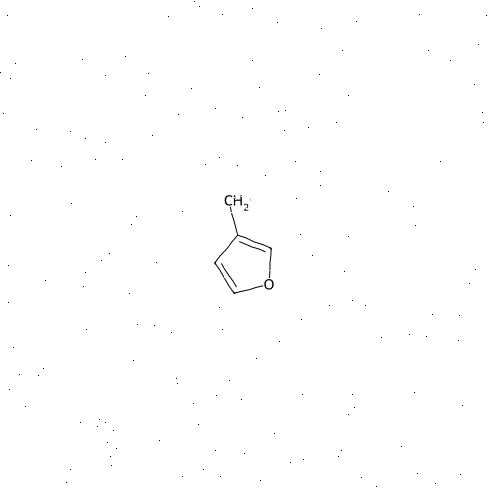 [CH2]c1ccoc1